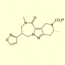 C[C@@H]1Cc2nn3c(c2CN1C(=O)O)C(=O)N(C)CC(c1ccon1)C3